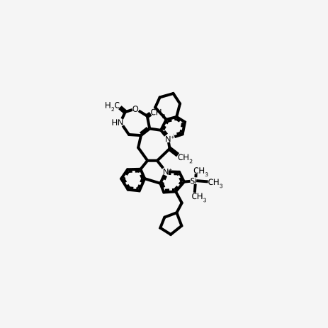 C=C1NCC2=C(C(=C)O1)c1c3c(cc[n+]1C(=C)C1C(C2)c2ccccc2-c2cc(CC4CCCC4)c([Si](C)(C)C)c[n+]21)CCCC3